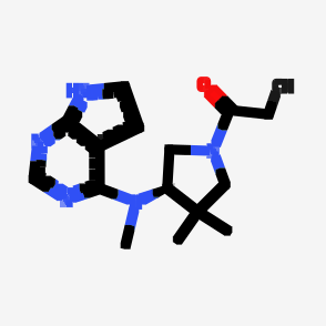 CN(c1ncnc2[nH]ccc12)[C@H]1CN(C(=O)CC#N)CC1(C)C